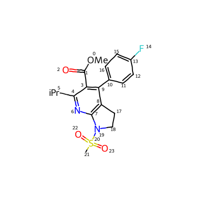 COC(=O)c1c(C(C)C)nc2c(c1-c1ccc(F)cc1)CCN2S(C)(=O)=O